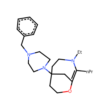 CCCC1=C2CC(N3CCN(Cc4ccccc4)CC3)(CCO2)CCN1CC